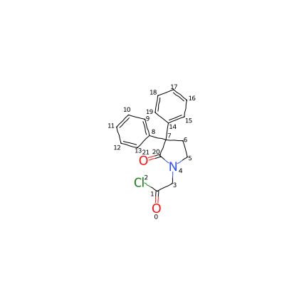 O=C(Cl)CN1CCC(c2ccccc2)(c2ccccc2)C1=O